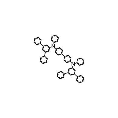 c1ccc(-c2cc(-c3ccccc3)cc(N(c3ccccc3)c3ccc(-c4ccc(N(c5ccccc5)c5cc(-c6ccccc6)cc(-c6ccccc6)c5)cc4)cc3)c2)cc1